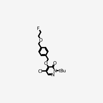 CC(C)(C)n1ncc(Cl)c(OCc2ccc(COCCF)cc2)c1=O